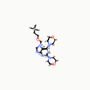 C[Si](C)(C)CCOCn1cnc2nc(N3CCOCC3)nc(N3CCOCC3)c21